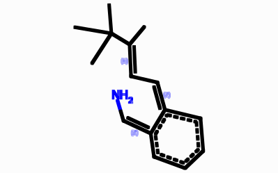 C\C(=C/C=c1/cccc/c1=C/N)C(C)(C)C